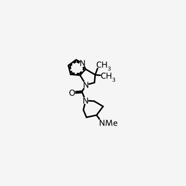 CNC1CCN(C(=O)N2CC(C)(C)c3ncccc32)CC1